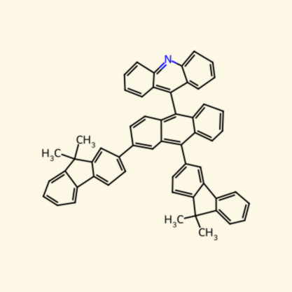 CC1(C)c2ccccc2-c2cc(-c3c4ccccc4c(-c4c5ccccc5nc5ccccc45)c4ccc(-c5ccc6c(c5)C(C)(C)c5ccccc5-6)cc34)ccc21